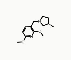 COc1ccc(CN2CC[C@@H](C)C2)c(OC)n1